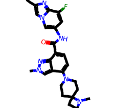 Cc1cn2cc(NC(=O)c3ccc(N4CCC5(CC4)CCN5C)c4cn(C)nc34)cc(F)c2n1